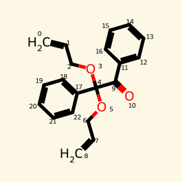 C=CCOC(OCC=C)(C(=O)c1ccccc1)c1ccccc1